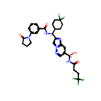 O=C(CCC(F)(F)F)N[C@H](O)c1cnn2cc([C@@H](NC(=O)c3cccc(N4CCCC4=O)c3)C3CCC(F)(F)CC3)nc2c1